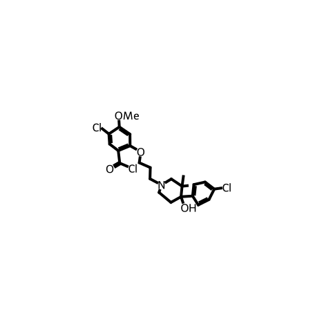 COc1cc(OCCCN2CCC(O)(c3ccc(Cl)cc3)C(C)(C)C2)c(C(=O)Cl)cc1Cl